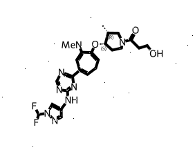 CNC1=CC(c2ncnc(Nc3cnn(C(F)F)c3)n2)=CCC=C1O[C@H]1CCN(C(=O)CCO)C[C@H]1C